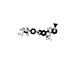 COc1cc2nn([C@H]3CC[C@H](N(C)C(=O)[C@@H](C)O)CC3)cc2cc1C(=O)Nc1cccn(C2CC2)c1=O